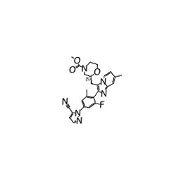 COC(=O)N1CCO[C@@H](Cc2c(-c3c(C)cc(-n4nccc4C#N)cc3F)nc3cc(C)ccn23)C1